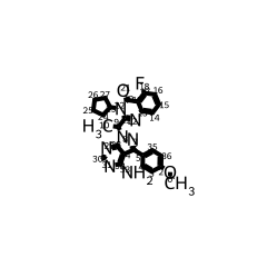 COc1ccc(-c2nn(C(C)c3nc4cccc(F)c4c(=O)n3C3CCCC3)c3ncnc(N)c23)cc1